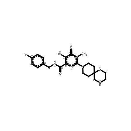 Cn1c(N2CCC3(CC2)CNCCO3)nc(C(=O)NCc2ccc(F)cc2)c(O)c1=O